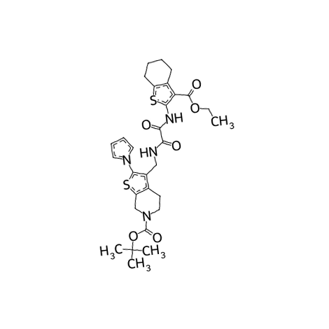 CCOC(=O)c1c(NC(=O)C(=O)NCc2c(-n3cccc3)sc3c2CCN(C(=O)OC(C)(C)C)C3)sc2c1CCCC2